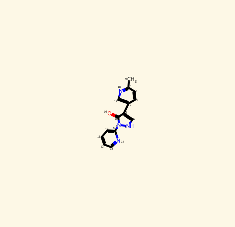 Cc1ccc(-c2c[nH]n(-c3ccccn3)c2=O)cn1